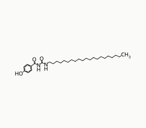 CCCCCCCCCCCCCCCCCCCCCNC(=O)NC(=O)c1ccc(O)cc1